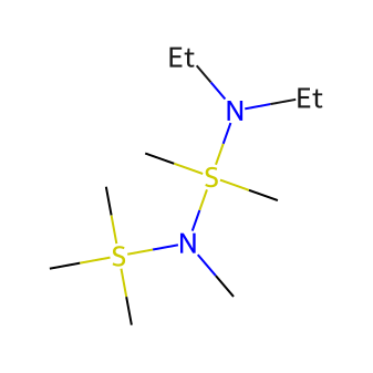 CCN(CC)S(C)(C)N(C)S(C)(C)C